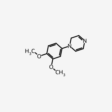 COc1ccc(N2C=CN=CC2)cc1OC